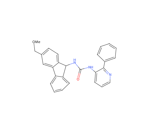 COCc1ccc2c(c1)-c1ccccc1C2NC(=O)Nc1cccnc1-c1ccccc1